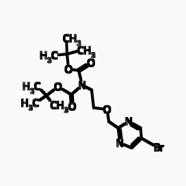 CC(C)(C)OC(=O)N(CCOCc1ncc(Br)cn1)C(=O)OC(C)(C)C